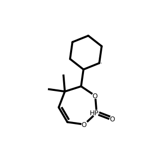 CC1(C)C=CO[PH](=O)OC1C1[CH]CCCC1